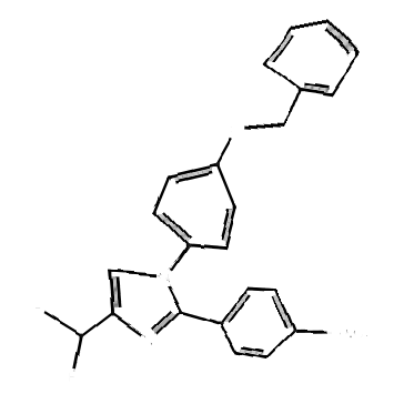 COc1ccc(-c2nc(C(F)F)cn2-c2ccc(OCc3ccccc3)cc2)cc1